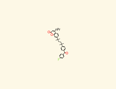 CCCc1cc(=O)oc2cc(C(C)(C)CCC(C)(C)c3ccc(C(=O)c4ccc(F)cc4)cc3)ccc12